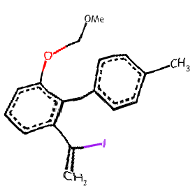 C=C(I)c1cccc(OCOC)c1-c1ccc(C)cc1